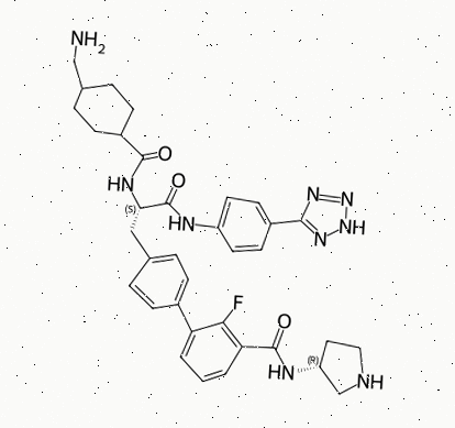 NCC1CCC(C(=O)N[C@@H](Cc2ccc(-c3cccc(C(=O)N[C@@H]4CCNC4)c3F)cc2)C(=O)Nc2ccc(-c3nn[nH]n3)cc2)CC1